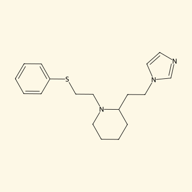 c1ccc(SCCN2CCCCC2CCn2ccnc2)cc1